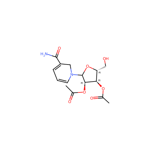 CC(=O)O[C@@H]1[C@@H](CO)OC(N2C=CC=C(C(N)=O)C2)[C@@H]1OC(C)=O